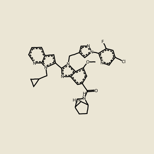 COc1cc(C(=O)N2CC3CCC2[C@@H]3N)cc2nc(-c3cc4cccnc4n3CC3CC3)n(Cc3cnn(-c4ncc(Cl)cc4F)c3)c12